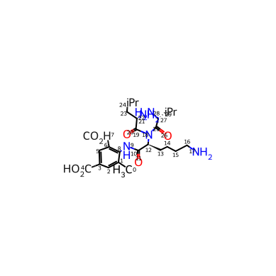 Cc1cc(C(=O)O)cc(C(=O)O)c1NC(=O)[C@H](CCCCN)N(C(=O)[C@@H](N)CC(C)C)C(=O)[C@H](N)C(C)C